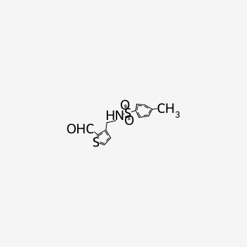 Cc1ccc(S(=O)(=O)NCCc2ccsc2C=O)cc1